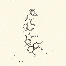 CC(C)C1=C(C(=O)N2[C@H](C)CC[C@@H]2C(=O)N2CC3(CC3)N(C=O)C[C@@H]2C)SC2=N[C@@](C)(c3ccc(Cl)nc3)[C@@H](c3ccc(Cl)c(F)c3)N21